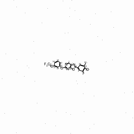 Cc1cc(-c2nc3cnc(Oc4cccc(OC(F)(F)F)c4)nc3o2)cc(C)c1[O]